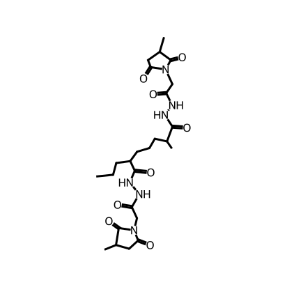 CCCC(CCCC(C)C(=O)NNC(=O)CN1C(=O)CC(C)C1=O)C(=O)NNC(=O)CN1C(=O)CC(C)C1=O